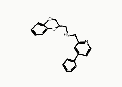 c1ccc(-c2ccnc(CNCC3COc4ccccc4O3)c2)cc1